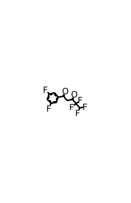 O=C(CC(=O)C(F)(F)C(F)F)c1cc(F)cc(F)c1